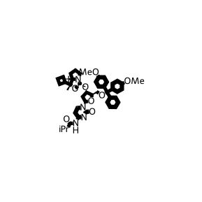 COc1ccc(C(OC[C@H]2O[C@@H](n3ccc(NC(=O)C(C)C)nc3=O)C[C@@H]2O[P@]2O[C@](C)(C3CCC3)[C@@H]3CCCN32)(c2ccccc2)c2ccc(OC)cc2)cc1